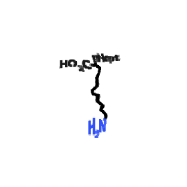 CCCCCCCC(CCCCCCCCCN)C(=O)O